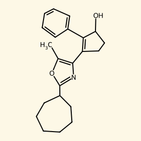 Cc1oc(C2CCCCCC2)nc1C1=C(c2ccccc2)C(O)CC1